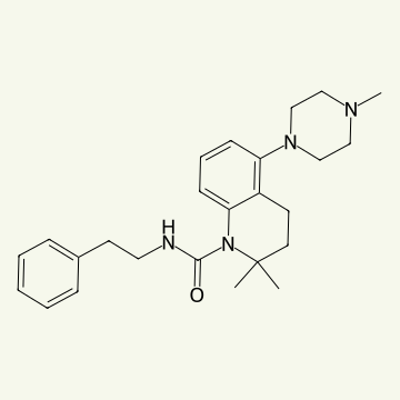 CN1CCN(c2cccc3c2CCC(C)(C)N3C(=O)NCCc2ccccc2)CC1